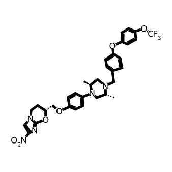 C[C@@H]1CN(c2ccc(OC[C@H]3CCn4cc([N+](=O)[O-])nc4O3)cc2)[C@@H](C)CN1Cc1ccc(Oc2ccc(OC(F)(F)F)cc2)cc1